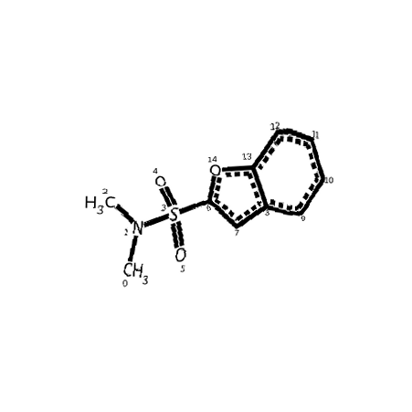 CN(C)S(=O)(=O)c1cc2ccccc2o1